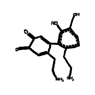 NCCC1=CC(=O)C(=O)C=C1c1c(CCN)ccc(O)c1O